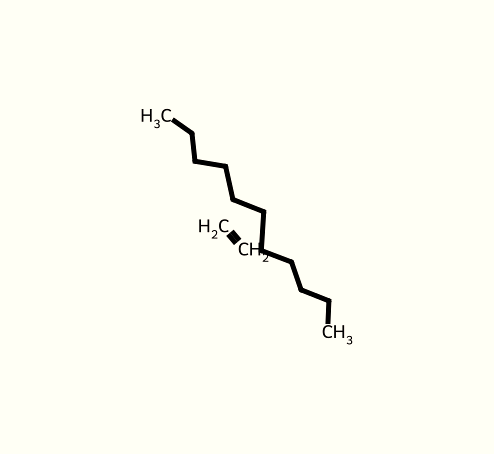 C=C.CCCCCCCCCCC